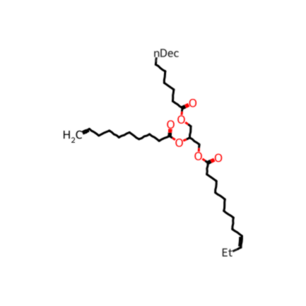 C=CCCCCCCCC(=O)OC(COC(=O)CCCCCCC/C=C\CC)COC(=O)CCCCCCCCCCCCCCC